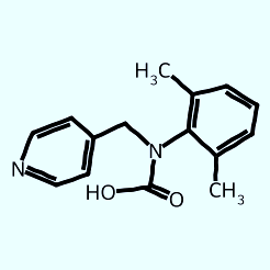 Cc1cccc(C)c1N(Cc1ccncc1)C(=O)O